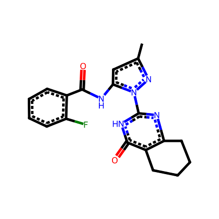 Cc1cc(NC(=O)c2ccccc2F)n(-c2nc3c(c(=O)[nH]2)CCCC3)n1